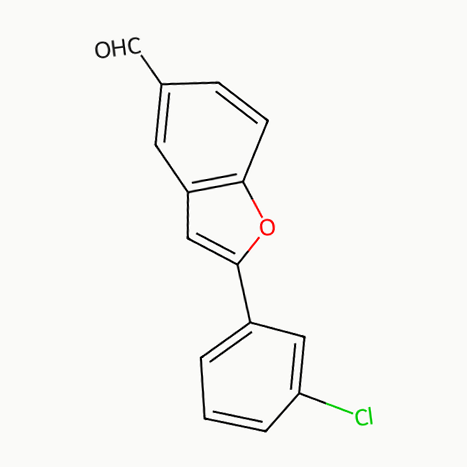 O=Cc1ccc2oc(-c3cccc(Cl)c3)cc2c1